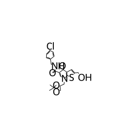 CC1(C)OCC(Cn2cc(C(=O)NCc3ccc(Cl)cc3)c(=O)c3cc(CO)sc32)O1